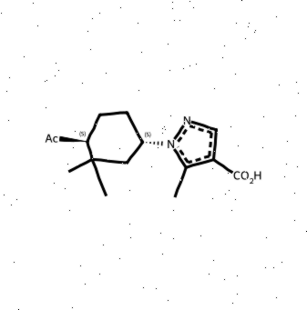 CC(=O)[C@H]1CC[C@H](n2ncc(C(=O)O)c2C)CC1(C)C